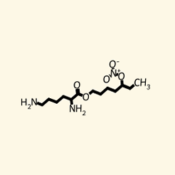 CCC(CCCCOC(=O)C(N)CCCCN)O[N+](=O)[O-]